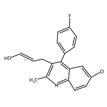 Cc1nc2ccc(Cl)cc2c(-c2ccc(F)cc2)c1C/C=C/O